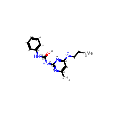 CNCCNc1cc(C)nc(NC(=O)Nc2ccccc2)n1